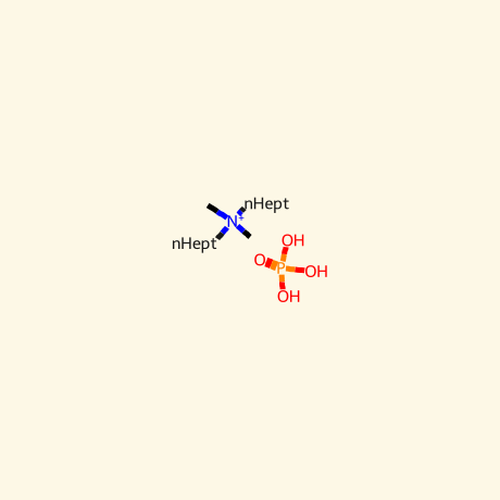 CCCCCCC[N+](C)(C)CCCCCCC.O=P(O)(O)O